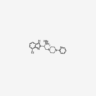 Br.CCc1cccc2[nH]c(C(N)CN3CCN(c4ccccn4)CC3)nc12